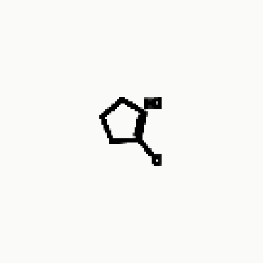 Cl.ClC1=CCCC1